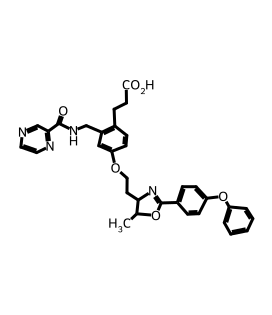 CC1OC(c2ccc(Oc3ccccc3)cc2)=NC1CCOc1ccc(CCC(=O)O)c(CNC(=O)c2cnccn2)c1